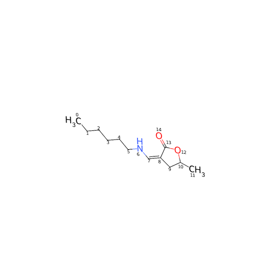 CCCCCCN/C=C1/CC(C)OC1=O